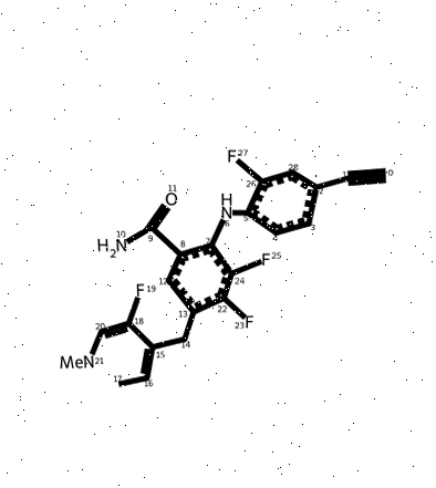 C#Cc1ccc(Nc2c(C(N)=O)cc(CC(=C/C)/C(F)=C\NC)c(F)c2F)c(F)c1